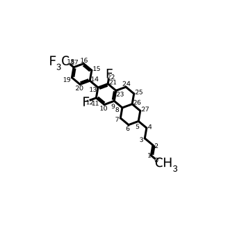 CC=CCCC1CCC2c3cc(F)c(-c4ccc(C(F)(F)F)cc4)c(F)c3CCC2C1